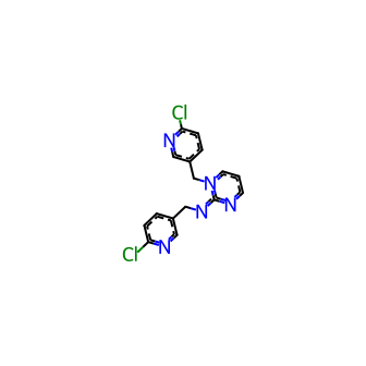 Clc1ccc(CN=c2ncccn2Cc2ccc(Cl)nc2)cn1